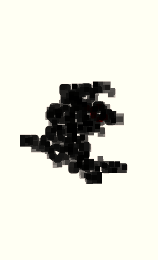 CSCSN[C@H](CS)C(=O)C(=O)[C@H](Cc1ccc(O)cc1)NC(=O)C(CC(N)=O)NC(=O)[C@H](CCC(=O)O)NC(=O)C(CC(C)C)NC(=O)[C@H](CCC(N)=O)NC(=O)C(Cc1ccc(O)cc1)NNC(CC(C)C)C(=O)N[C@H](C=O)CC(N)=O